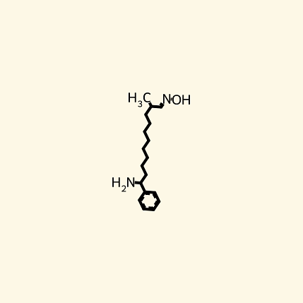 CC(/C=N/O)CCCCCCCCC(N)c1ccccc1